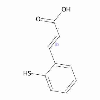 O=C(O)/C=C/c1ccccc1S